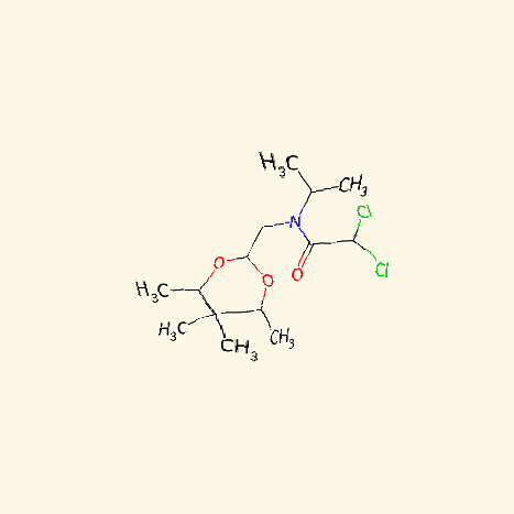 CC(C)N(CC1OC(C)C(C)(C)C(C)O1)C(=O)C(Cl)Cl